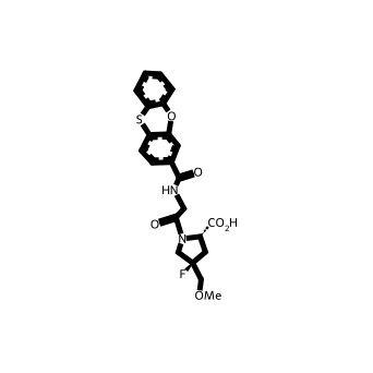 COC[C@@]1(F)C[C@@H](C(=O)O)N(C(=O)CNC(=O)c2ccc3c(c2)Oc2ccccc2S3)C1